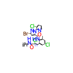 Cc1cc(Cl)cc(/C=C(\Cl)C(=O)NC(C)C)c1NC(=O)c1cc(Br)nn1-c1ncccc1Cl